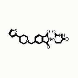 O=C1CCN(N2C(=O)c3ccc(CN4CCC(c5cccs5)CC4)cc3C2=O)C(=O)N1